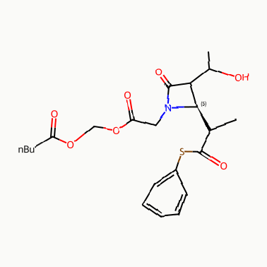 CCCCC(=O)OCOC(=O)CN1C(=O)C(C(C)O)[C@H]1C(C)C(=O)Sc1ccccc1